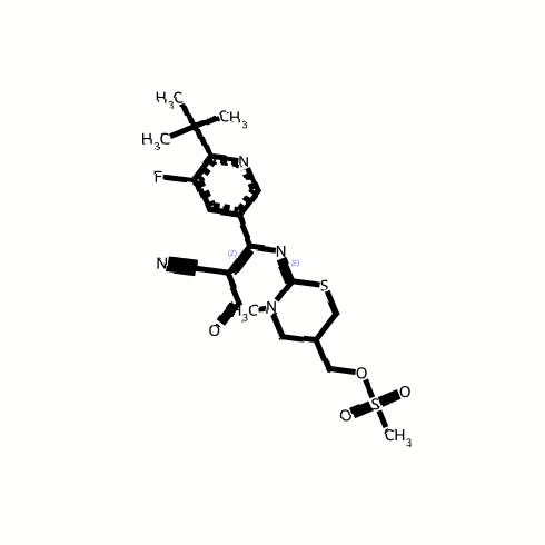 CN1CC(COS(C)(=O)=O)CS/C1=N/C(=C(/C#N)C=O)c1cnc(C(C)(C)C)c(F)c1